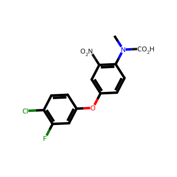 CN(C(=O)O)c1ccc(Oc2ccc(Cl)c(F)c2)cc1[N+](=O)[O-]